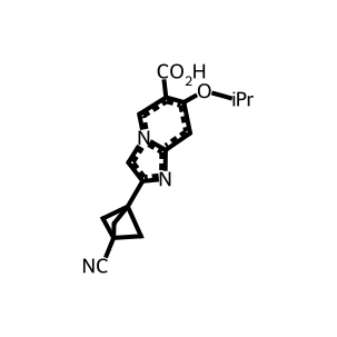 CC(C)Oc1cc2nc(C34CC(C#N)(C3)C4)cn2cc1C(=O)O